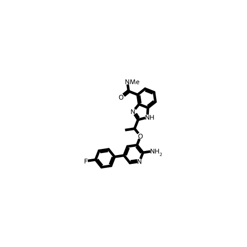 CNC(=O)c1cccc2[nH]c(C(C)Oc3cc(-c4ccc(F)cc4)cnc3N)nc12